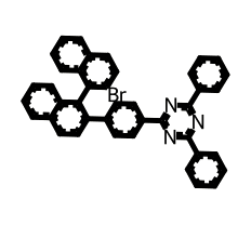 Brc1ccc2ccccc2c1-c1c(-c2ccc(-c3nc(-c4ccccc4)nc(-c4ccccc4)n3)cc2)ccc2ccccc12